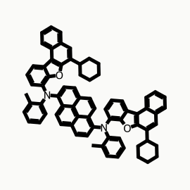 Cc1ccccc1N(c1ccc2ccc3c(N(c4ccccc4C)c4cccc5c4oc4c(C6CCCCC6)cc6ccccc6c45)ccc4ccc1c2c43)c1cccc2c1oc1c(C3CCCCC3)cc3ccccc3c12